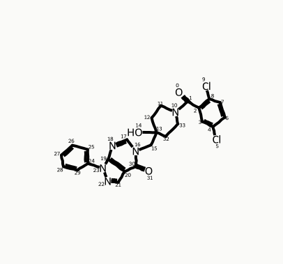 O=C(c1cc(Cl)ccc1Cl)N1CCC(O)(Cn2cnc3c(cnn3-c3ccccc3)c2=O)CC1